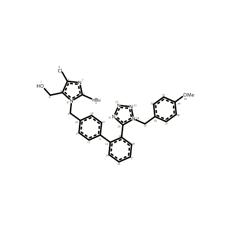 CCCCc1nc(Cl)c(CO)n1Cc1ccc(-c2ccccc2-c2nnnn2Cc2ccc(OC)cc2)cc1